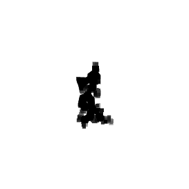 C[C@@]1(c2cc(NC(=O)c3ncc(C#N)cc3C3CC3)ccc2F)C=C(C(F)F)OC(N)=N1